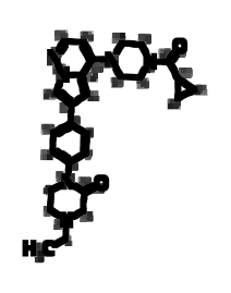 CCN1CCN(c2ccc(-c3cc4c(N5CCN(C(=O)C6CC6)CC5)ccnn4c3)cc2)C(=O)C1